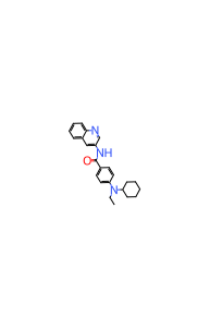 CCN(c1ccc(C(=O)Nc2cnc3ccccc3c2)cc1)C1CCCCC1